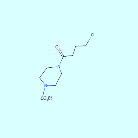 CCOC(=O)N1CCN(C(=O)CCCCl)CC1